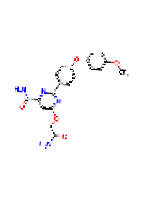 NC(=O)COc1cc(C(N)=O)nc(-c2ccc(Oc3ccc(OC(F)(F)F)cc3)cc2)n1